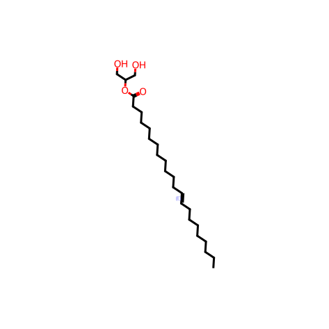 CCCCCCCC/C=C/CCCCCCCCCCCC(=O)OC(CO)CO